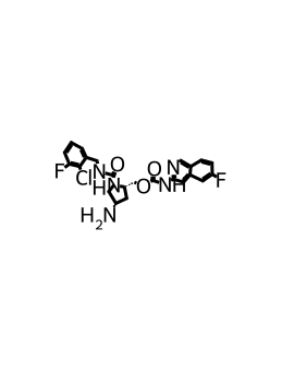 N[C@@H]1C[C@@H](COC(=O)Nc2cc3cc(F)ccc3cn2)N(C(=O)NCc2cccc(F)c2Cl)C1